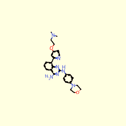 CN(C)CCOc1ccnc(-c2cccc3c(N)nc(Nc4ccc(N5CCOCC5)cc4)nc23)c1